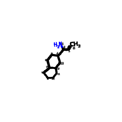 C=CC(N)C1CCC2CCCCC2C1